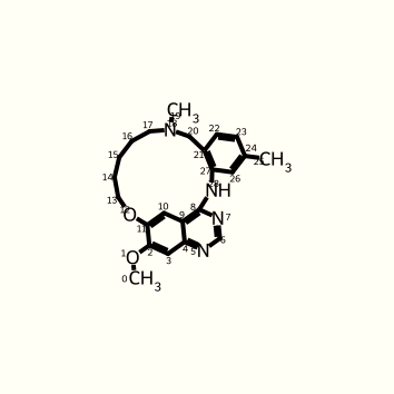 COc1cc2ncnc3c2cc1OCCCCCN(C)Cc1ccc(C)cc1N3